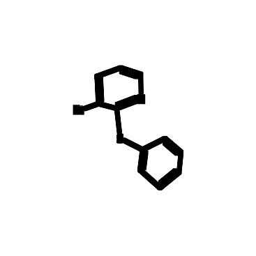 CCc1cccnc1Sc1ccccc1